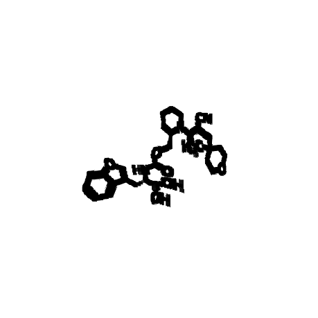 CC1(/C=C(/C#N)C(=O)N2CCCC[C@@H]2COC(=O)N[C@@H](Cc2coc3ccccc23)B(O)O)CCOCC1